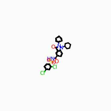 O=C(NS(=O)(=O)c1ccc(Cl)cc1Cl)c1ccc2c(c1)c(=O)n(-c1ccccc1)n2C1CCCCC1